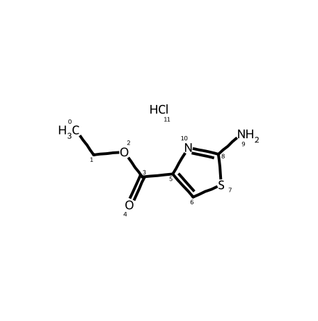 CCOC(=O)c1csc(N)n1.Cl